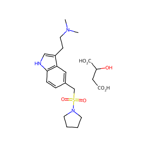 CN(C)CCc1c[nH]c2ccc(CS(=O)(=O)N3CCCC3)cc12.O=C(O)CC(O)C(=O)O